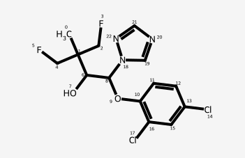 CC(CF)(CF)C(O)C(Oc1ccc(Cl)cc1Cl)n1cncn1